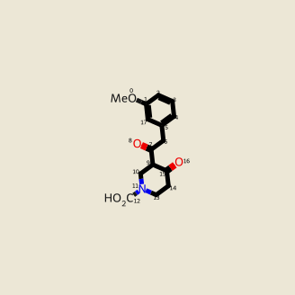 COc1cccc(CC(=O)C2CN(C(=O)O)CCC2=O)c1